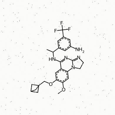 COc1cc2c(cc1OCC13CC(C1)C3)C(NC(C)c1cc(N)cc(C(F)(F)F)c1)=NC1=NCCN12